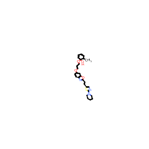 CC1C=CC=CC1(O)OCCCOc1ccc2nc(C=Cc3cnc(N4CCCCC4)s3)oc2c1